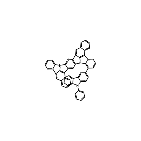 c1ccc(-n2c3ccccc3c3cc(-c4cccc5c6c7ccccc7cc7c8nc9c(cc8n(c45)c76)c4c5ccccc5cc5c6ccccc6n9c54)ccc32)cc1